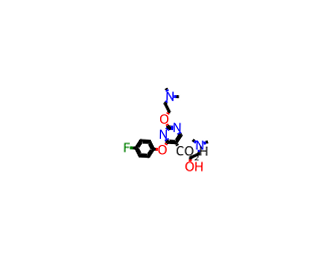 CN(C)CCO.CN(C)CCOc1ncc(C(=O)O)c(Oc2ccc(F)cc2)n1